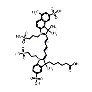 Cc1cc(S(=O)(=O)O)cc2c3c(ccc12)[N+](CCCS(=O)(=O)O)=C(/C=C/C=C/C=C1\N(CCCS(=O)(=O)O)c2ccc(S(=O)(=O)O)cc2C1(C)CCCCCC(=O)O)C3(C)C